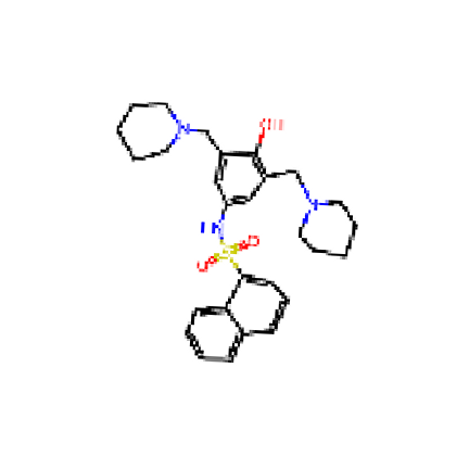 O=S(=O)(Nc1cc(CN2CCCCC2)c(O)c(CN2CCCCC2)c1)c1cccc2ccccc12